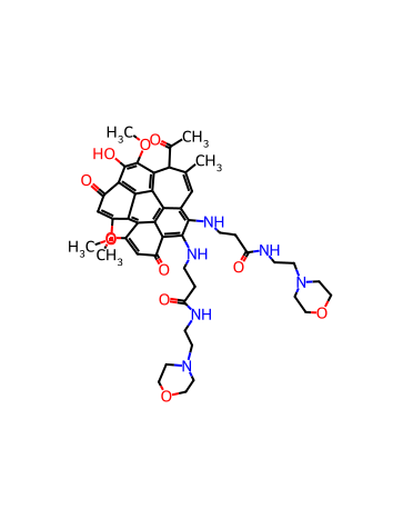 COc1c(O)c2c(=O)cc(OC)c3c4c(OC)cc(=O)c5c(NCCC(=O)NCCN6CCOCC6)c(NCCC(=O)NCCN6CCOCC6)c6c(c(c1C(C(C)=O)C(C)=C6)c23)c54